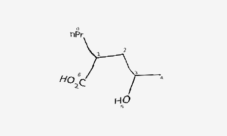 CCCC(CC(C)O)C(=O)O